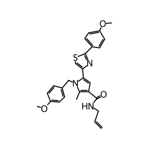 C=CCNC(=O)c1cc(-c2csc(-c3ccc(OC)cc3)n2)n(Cc2ccc(OC)cc2)c1C